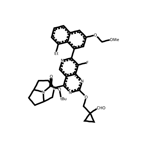 CCc1cccc2cc(OCOC)cc(-c3ncc4c(N5CCC6CCC(C5)N6C(=O)OC(C)(C)C)nc(OCC5(C=O)CC5)nc4c3F)c12